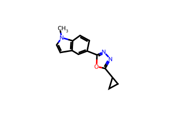 Cn1ccc2cc(-c3nnc(C4CC4)o3)ccc21